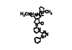 CNCc1nc(N2CCCC2(C)C)cc2c1CN(c1cccc(-c3nncn3-c3ccccc3)n1)C2=O